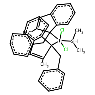 CC1=Cc2ccccc2[C]1(Cc1ccccc1)[Ti]([Cl])([Cl])([SiH](C)C)[C]1(Cc2ccccc2)C(C)=Cc2ccccc21